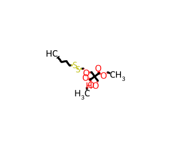 C#CCCCSSCOCC(CO)(C(=O)OCC)C(=O)OCC